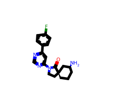 N[C@H]1CCC[C@]2(CCN(c3cc(-c4ccc(F)cc4)ncn3)C2=O)C1